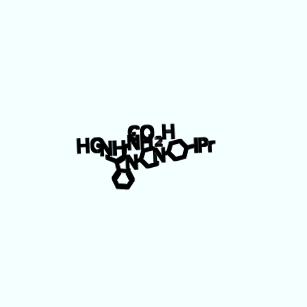 CC(C)C1CCC(N2CCC(n3c(CNC(=O)O)c(CNO)c4ccccc43)CC2)CC1